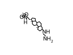 C[C@]12CCC(NCCN)CC1CCC1C2CC[C@@]2(C)C1CC[C@@H]2CCNS(C)(=O)=O